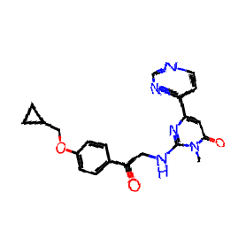 Cn1c(NCC(=O)c2ccc(OCC3CC3)cc2)nc(-c2ccncn2)cc1=O